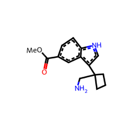 COC(=O)c1ccc2[nH]cc(C3(CN)CCC3)c2c1